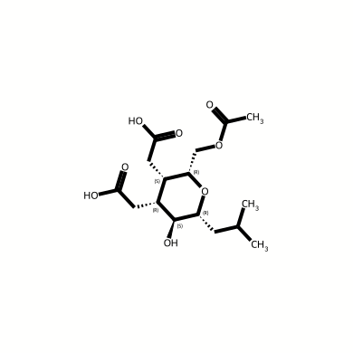 CC(=O)OC[C@@H]1O[C@H](CC(C)C)[C@@H](O)[C@H](CC(=O)O)[C@@H]1CC(=O)O